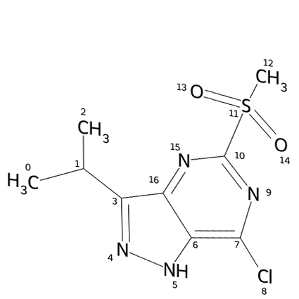 CC(C)c1n[nH]c2c(Cl)nc(S(C)(=O)=O)nc12